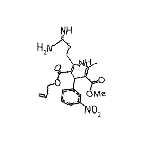 C=CCOC(=O)C1=C(CSC(=N)N)NC(C)=C(C(=O)OC)C1c1cccc([N+](=O)[O-])c1